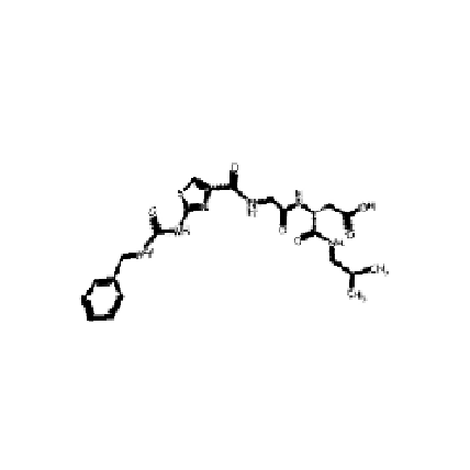 CC(C)CNC(=O)[C@H](CC(=O)O)NC(=O)CNC(=O)c1csc(NC(=O)NCc2ccccc2)n1